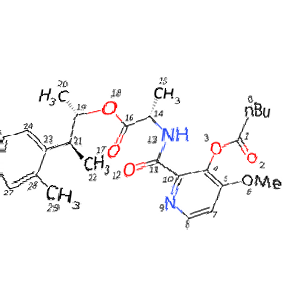 CCCCC(=O)Oc1c(OC)ccnc1C(=O)N[C@@H](C)C(=O)O[C@@H](C)[C@@H](C)c1ccccc1C